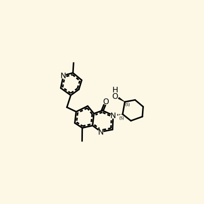 Cc1ccc(Cc2cc(C)c3ncn([C@H]4CCCC[C@@H]4O)c(=O)c3c2)cn1